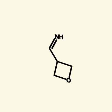 N=CC1COC1